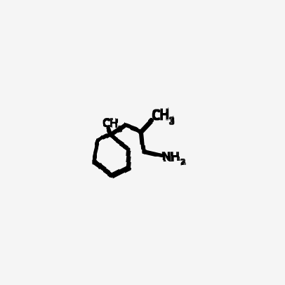 CC(CN)CC1(C)CCCCC1